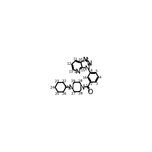 O=C(c1cccc(-n2nnc3cccnc32)c1)N1CCN(C2CCCCC2)CC1